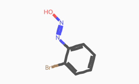 ON=Nc1ccccc1Br